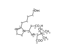 CCCCCCCCCCCCCCC1=NCCN1C(CCC)CC(=O)O.C[N+](C)(C)CC(=O)[O-]